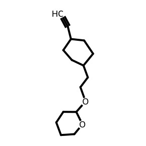 C#CC1CCC(CCOC2CCCCO2)CC1